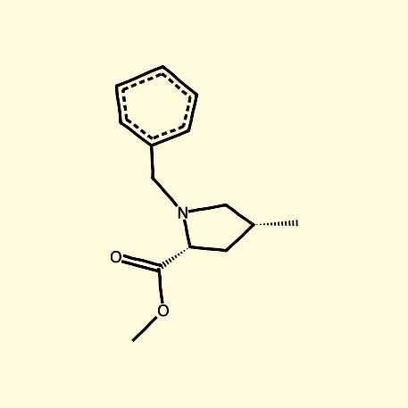 COC(=O)[C@H]1C[C@@H](C)CN1Cc1ccccc1